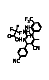 CC1=C(C#N)C(c2ccc(C#N)cc2)N=C(NN)N1c1cccc(C(F)(F)F)c1.O=C(O)C(F)(F)F